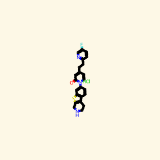 Cl.O=c1cc(CCc2ccc(F)cn2)ccn1-c1ccc2c3c(sc2c1)CNCC3